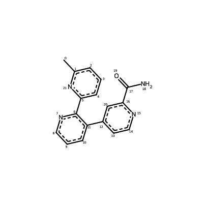 Cc1cccc(-c2ncccc2-c2ccnc(C(N)=O)c2)n1